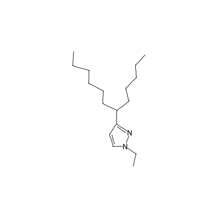 CCCCCCC(CCCCC)c1ccn(CC)n1